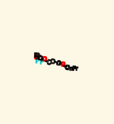 CCCc1ccc(COc2ccc(C3CCC4CC(COc5ccc(OCC)c(F)c5F)CCC4C3)cc2)cc1